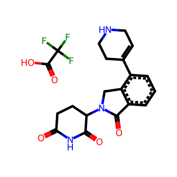 O=C(O)C(F)(F)F.O=C1CCC(N2Cc3c(cccc3C3=CCNCC3)C2=O)C(=O)N1